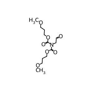 COCCCOC(=O)N(CC=O)C(=O)OCCCOC